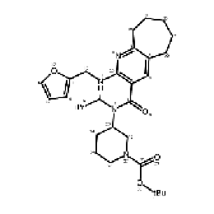 CC(C)CN(C(=O)c1cc2c(nc1NCc1ccco1)CCCCC2)C1CCCN(C(=O)OC(C)(C)C)C1